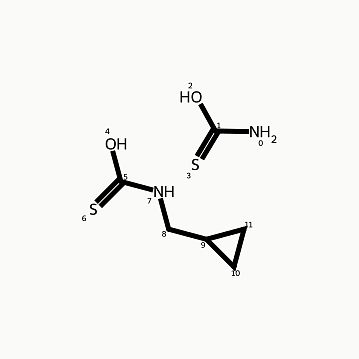 NC(O)=S.OC(=S)NCC1CC1